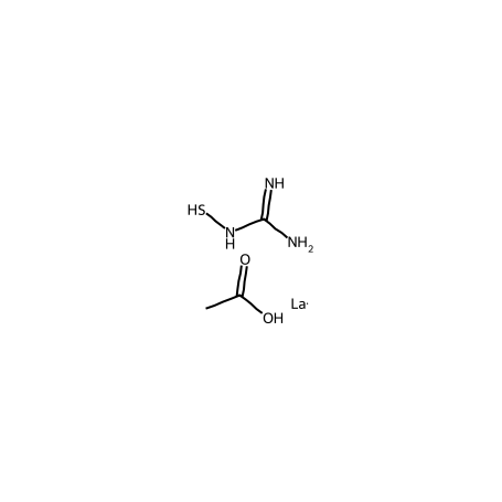 CC(=O)O.N=C(N)NS.[La]